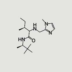 CC[C@H](C)C(NCc1nccn1C)C(=O)N[C@H](C)C(C)(C)C